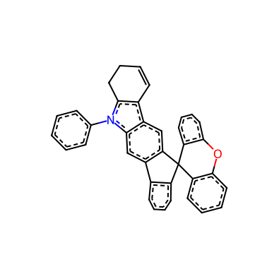 C1=Cc2c(n(-c3ccccc3)c3cc4c(cc23)C2(c3ccccc3Oc3ccccc32)c2ccccc2-4)CC1